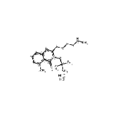 CNCCCCc1nc2cccc(C)c2c(=O)n1CC(C)(C)C.Cl.Cl